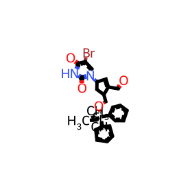 CC(C)(C)[Si](OCC1CC(n2cc(Br)c(=O)[nH]c2=O)C=C1C=O)(c1ccccc1)c1ccccc1